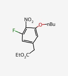 CCCCOc1cc(CC(=O)OCC)cc(F)c1[N+](=O)[O-]